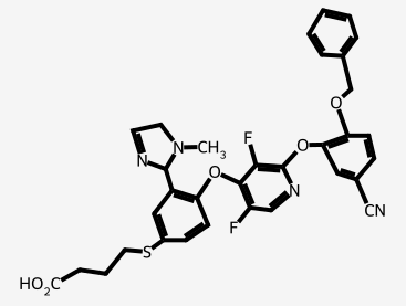 CN1CC=NC1c1cc(SCCCC(=O)O)ccc1Oc1c(F)cnc(Oc2cc(C#N)ccc2OCc2ccccc2)c1F